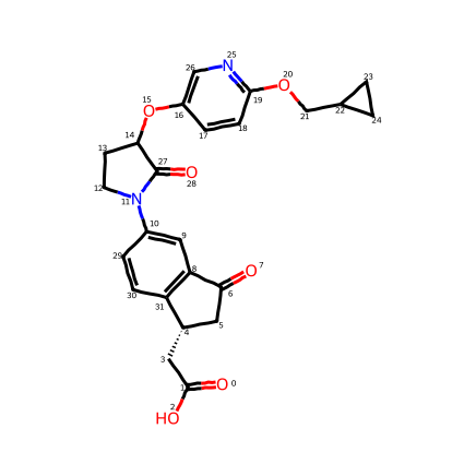 O=C(O)C[C@H]1CC(=O)c2cc(N3CCC(Oc4ccc(OCC5CC5)nc4)C3=O)ccc21